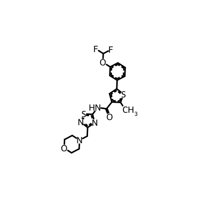 Cc1sc(-c2cccc(OC(F)F)c2)cc1C(=O)Nc1nc(CN2CCOCC2)ns1